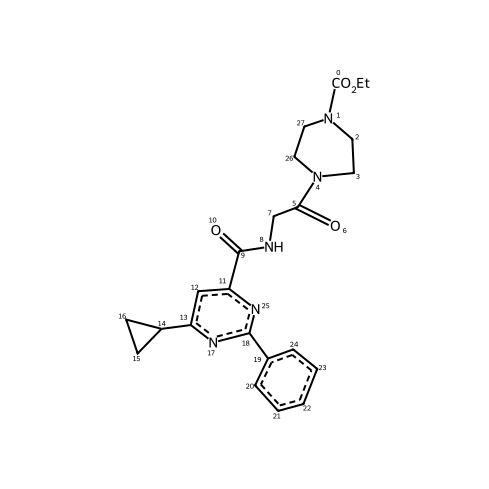 CCOC(=O)N1CCN(C(=O)CNC(=O)c2cc(C3CC3)nc(-c3ccccc3)n2)CC1